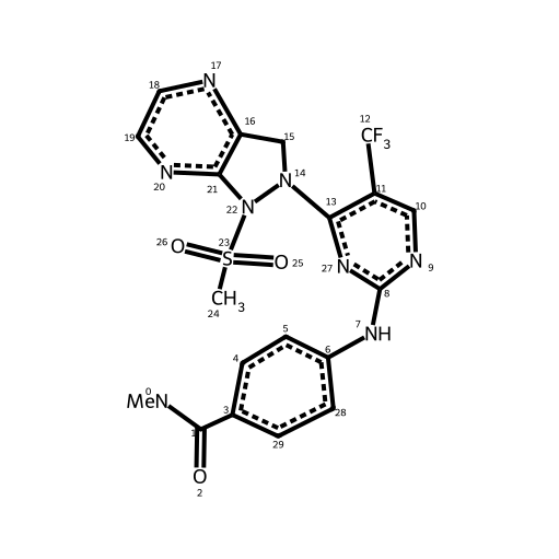 CNC(=O)c1ccc(Nc2ncc(C(F)(F)F)c(N3Cc4nccnc4N3S(C)(=O)=O)n2)cc1